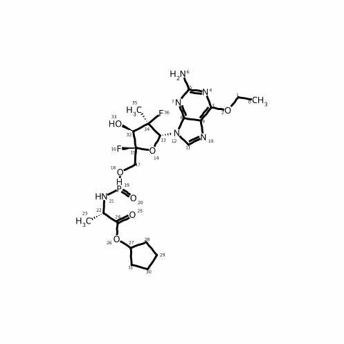 CCOc1nc(N)nc2c1ncn2[C@@H]1O[C@](F)(CO[PH](=O)N[C@@H](C)C(=O)OC2CCCC2)[C@@H](O)[C@@]1(C)F